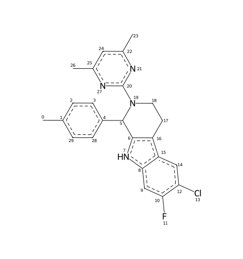 Cc1ccc(C2c3[nH]c4cc(F)c(Cl)cc4c3CCN2c2nc(C)cc(C)n2)cc1